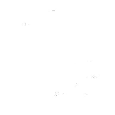 COP(=O)(CC(=O)C1CCC(=C(C)C)CC1)OC